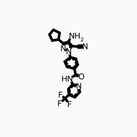 N#Cc1c(N)c(C2CCCC2)nn1-c1ccc(C(=O)Nc2cc(C(F)(F)F)ccn2)cc1